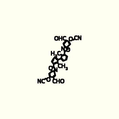 Cc1c(-c2nc3cc(C=O)c(OCC#N)cc3o2)cccc1-c1cccc(-c2nc3cc(C=O)c(OCC#N)cc3o2)c1C